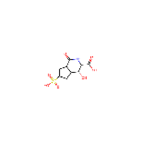 O=C1NC(C(=O)O)[C@H](O)C2CC(S(=O)(=O)O)CC12